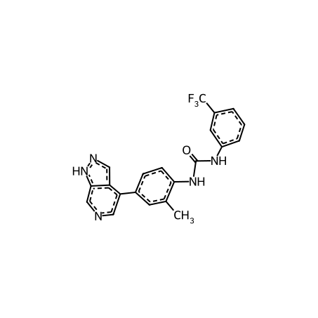 Cc1cc(-c2cncc3[nH]ncc23)ccc1NC(=O)Nc1cccc(C(F)(F)F)c1